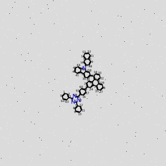 c1ccc(-c2nc(-c3ccccc3)nc(-c3ccc(-c4ccc5c(c4)c4ccccc4c4cccc(-c6ccc7c8ccccc8n(-c8ccc9ccccc9c8)c7c6)c45)cc3)n2)cc1